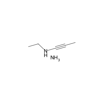 CC#CNCC.N